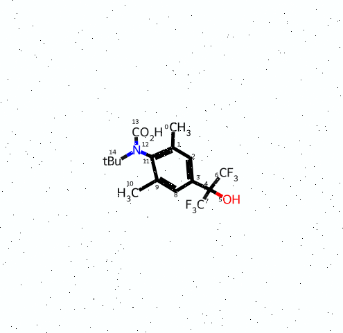 Cc1cc(C(O)(C(F)(F)F)C(F)(F)F)cc(C)c1N(C(=O)O)C(C)(C)C